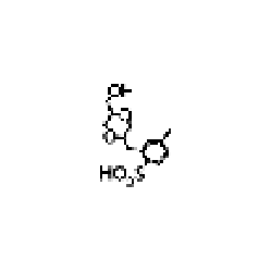 Cc1ccc(S(=O)(=O)O)c(CC2COC(CO)CO2)c1